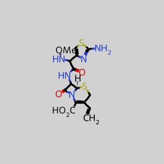 C=CC1=C(C(=O)O)N2C(=O)C(NC(=O)C(NOC)c3csc(N)n3)[C@H]2SC1